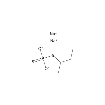 CCC(C)SP([O-])([O-])=S.[Na+].[Na+]